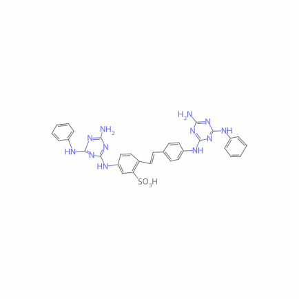 Nc1nc(Nc2ccccc2)nc(Nc2ccc(/C=C/c3ccc(Nc4nc(N)nc(Nc5ccccc5)n4)cc3S(=O)(=O)O)cc2)n1